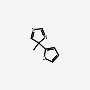 CC1(c2ccco2)C=NC=N1